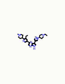 CCc1cc(-c2cnc3[nH]cc(-c4cnn(C5CCN(CC)CC5)c4)c3n2)cnc1C1CCN(C)CC1